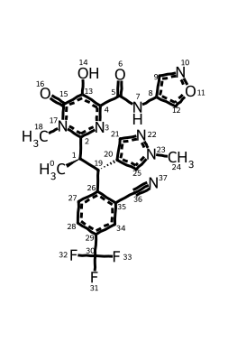 C[C@@H](c1nc(C(=O)Nc2cnoc2)c(O)c(=O)n1C)[C@H](c1cnn(C)c1)c1ccc(C(F)(F)F)cc1C#N